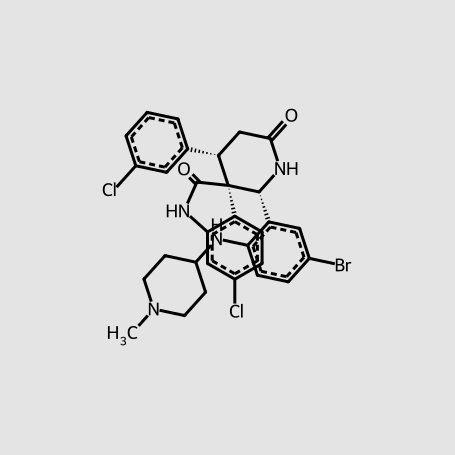 CN1CCC(Nc2ccc(Br)cc2[C@H]2NC(=O)C[C@@H](c3cccc(Cl)c3)[C@]23C(=O)Nc2cc(Cl)ccc23)CC1